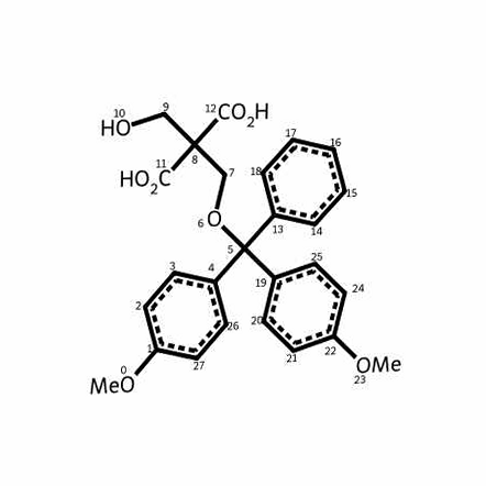 COc1ccc(C(OCC(CO)(C(=O)O)C(=O)O)(c2ccccc2)c2ccc(OC)cc2)cc1